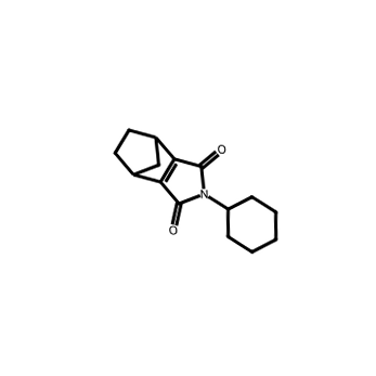 O=C1C2=C(C(=O)N1C1CCCCC1)C1CCC2C1